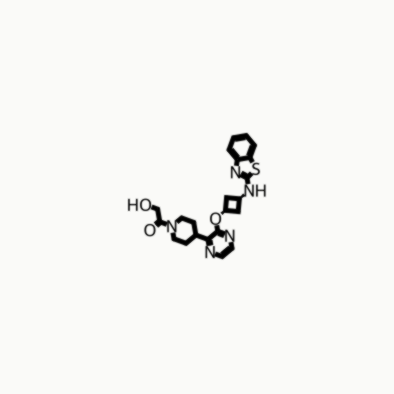 O=C(CO)N1CCC(c2nccnc2O[C@H]2C[C@@H](Nc3nc4ccccc4s3)C2)CC1